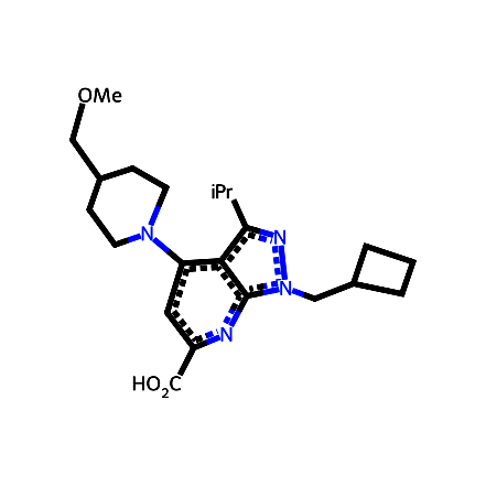 COCC1CCN(c2cc(C(=O)O)nc3c2c(C(C)C)nn3CC2CCC2)CC1